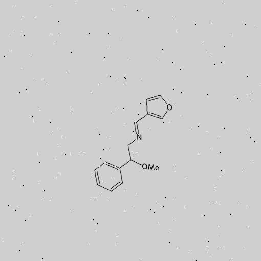 COC(CN=Cc1ccoc1)c1ccccc1